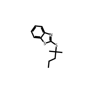 CCCC(C)(C)Sc1nc2ccccc2s1